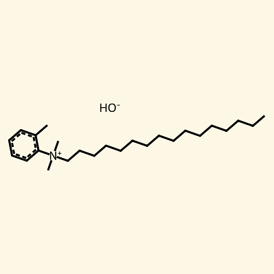 CCCCCCCCCCCCCCCC[N+](C)(C)c1ccccc1C.[OH-]